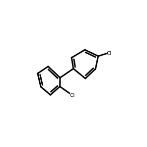 Clc1ccc(-c2c[c]ccc2Cl)cc1